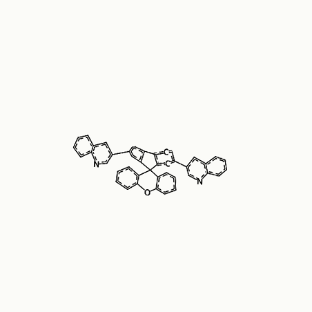 c1ccc2c(c1)Oc1ccccc1C21c2cc(-c3cnc4ccccc4c3)ccc2-c2ccc(-c3cnc4ccccc4c3)cc21